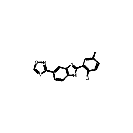 Cc1ccc(Cl)c(-c2nc3cc(-c4ncon4)ccc3[nH]2)c1